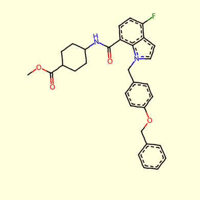 COC(=O)C1CCC(NC(=O)c2ccc(F)c3ccn(Cc4ccc(OCc5ccccc5)cc4)c23)CC1